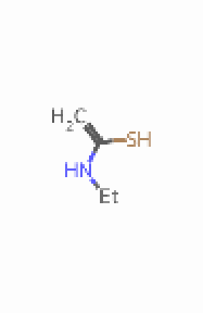 C=C(S)NCC